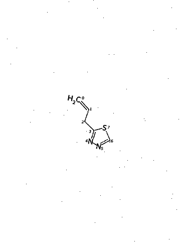 C=CCc1nn[c]s1